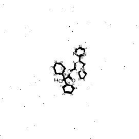 O=C(OCC[C@@H](CN1CCCC1)c1ncccn1)C(O)(c1ccccc1)C1CCCCC1